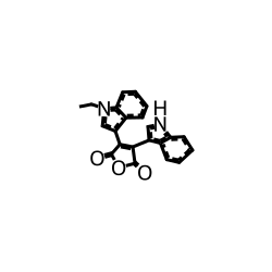 CCn1cc(C2=C(c3c[nH]c4ccccc34)C(=O)OC2=O)c2ccccc21